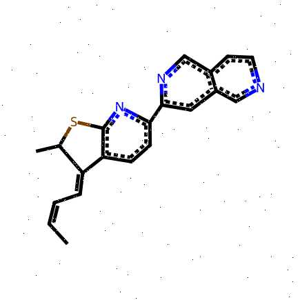 C/C=C\C=C1\c2ccc(-c3cc4cnccc4cn3)nc2SC1C